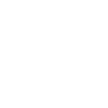 O=C(c1cc(C(F)(F)F)cc(C(F)(F)F)c1)N1CCC(N2CCC(F)(F)C2)C(c2ccccc2)C1